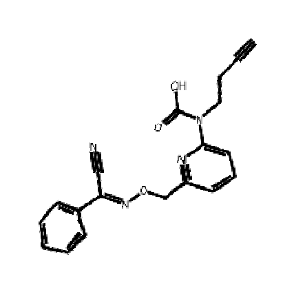 C#CCCN(C(=O)O)c1cccc(CON=C(C#N)c2ccccc2)n1